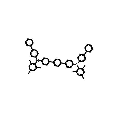 Cc1cc(C)c(N(c2ccc(-c3ccccc3)cc2)c2ccc(-c3ccc(-c4ccc(N(c5ccc(-c6ccccc6)cc5)c5c(C)cc(C)cc5C)cc4)cc3)cc2)c(C)c1